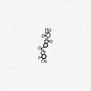 N#Cc1ccc2c(c1F)CN(C(=O)c1ccc3c(c1)CN(C1CCC(=O)NC1=O)C3=O)C2